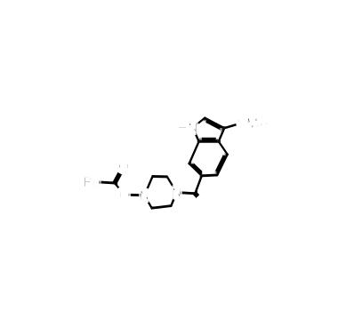 CSc1c[nH]c2cc(C(=O)N3CCN(OC(=O)C(C)(C)C)CC3)ccc12